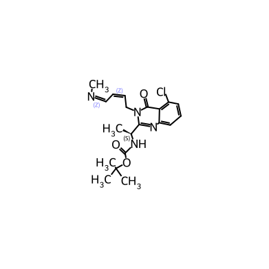 C/N=C\C=C/Cn1c([C@H](C)NC(=O)OC(C)(C)C)nc2cccc(Cl)c2c1=O